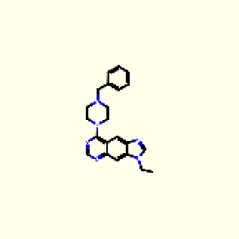 CCn1cnc2cc3c(N4CCN(Cc5ccccc5)CC4)ncnc3cc21